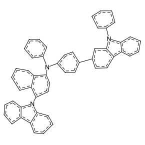 c1ccc(N(c2ccc(-c3ccc4c5ccccc5n(-c5ccccc5)c4c3)cc2)c2ccc(-n3c4ccccc4c4ccccc43)c3ccccc23)cc1